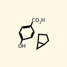 C1CC2CC2C1.O=C(O)c1ccc(O)cc1